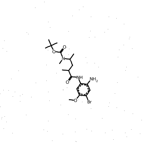 COc1cc(NC(=O)C(C)CC(C)N(C)C(=O)OC(C)(C)C)c(N)cc1Br